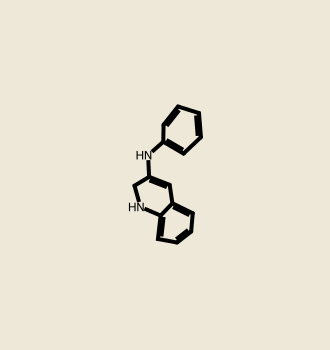 C1=C(Nc2ccccc2)CNc2ccccc21